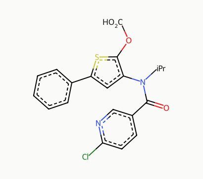 CC(C)N(C(=O)c1ccc(Cl)nc1)c1cc(-c2ccccc2)sc1OC(=O)O